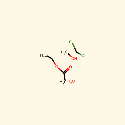 CCOC(C)=O.CO.ClCCl.O